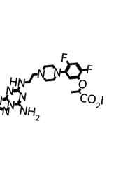 C[C@@H](Oc1cc(N2CCN(CCNc3nc(N)n4nc(-c5ccco5)nc4n3)CC2)c(F)cc1F)C(=O)O